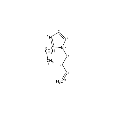 C=CCCn1ccnc1.CC(=O)O